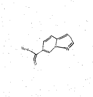 CNC(=O)c1ccc2ccnn2c1